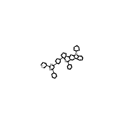 c1ccc(-c2cc(-c3ccc(-c4cccc5c4nc(-c4ccccc4)c4cc6c7ccccc7n(-c7ccccc7)c6cc45)cc3)nc(-c3ccccc3)n2)cc1